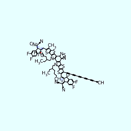 [C-]#[N+]/C(C#N)=C1/C(=C/c2sc3c(sc4c5c6nsnc6c6c7sc8c(C#CC#CC#CC#CC#CC#C)c(/C=C9\C(=O)c%10cc(F)c(F)cc%10C9=C(C#N)C#N)sc8c7n(CC(CC)CCCC)c6c5n(CC(CC)CCCC)c34)c2C)C(=O)c2cc(F)c(F)cc21